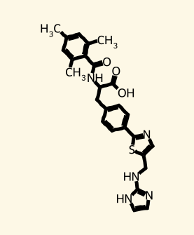 Cc1cc(C)c(C(=O)NC(Cc2ccc(-c3ncc(CNc4ncc[nH]4)s3)cc2)C(=O)O)c(C)c1